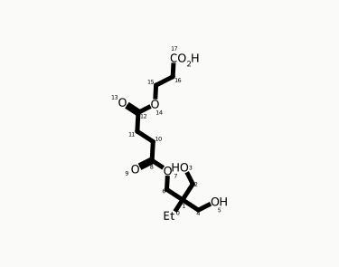 CCC(CO)(CO)COC(=O)CCC(=O)OCCC(=O)O